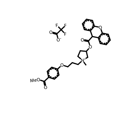 COC(=O)c1ccc(OCCC[N+]2(C)CCC(OC(=O)C3c4ccccc4Oc4ccccc43)C2)cc1.O=C([O-])C(F)(F)F